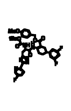 COc1ccc(COC(=O)C2=C(NC(=O)C(Cc3nc(-c4ccc(F)cn4)no3)NC(=O)OC(C)(C)C)CCC(c3cc(F)cc(F)c3)C2)cc1